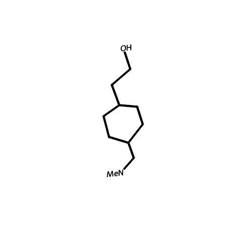 CNCC1CCC(CCO)CC1